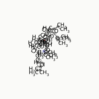 C=C(C)[C@H](C)C[C@H]1CC[C@@H]2OC(CCC(/C=C/[C@H](O[Si](C)(C)C(C)(C)C)[C@@H]3O[C@H]4CCC(CC(=O)C([C@@H]5[C@@H](C)[C@@H](C[C@H](C)CC)O[C@H]5CCO[Si](CC)(CC)CC)S(=O)(=O)c5ccccc5)O[C@@H]4[C@H](O[Si](C)(C)C(C)(C)C)[C@@H]3O[Si](C)(C)C(C)(C)C)OC(=O)c3ccccc3)C[C@]2(CI)O1